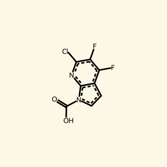 O=C(O)n1ccc2c(F)c(F)c(Cl)nc21